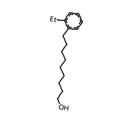 CCc1ccccc1CCCCCCCCCO